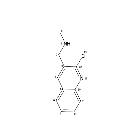 CNCc1cc2ccccc2nc1Cl